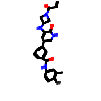 C=CC(=O)N1CC(Nc2cc(-c3cccc(C(=O)Nc4ccc(C(C)C)c(C)c4)c3)c[nH]c2=O)C1